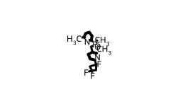 Cc1cccc(P(C)(=O)Cc2ccc(C3(F)CC(F)(F)C3)nc2C)n1